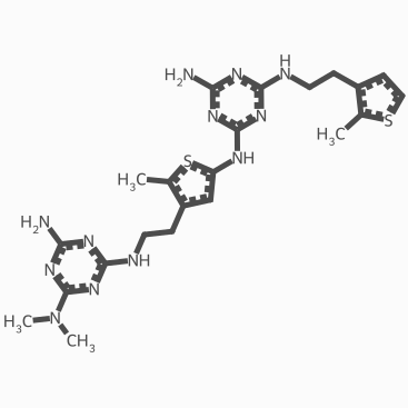 Cc1sccc1CCNc1nc(N)nc(Nc2cc(CCNc3nc(N)nc(N(C)C)n3)c(C)s2)n1